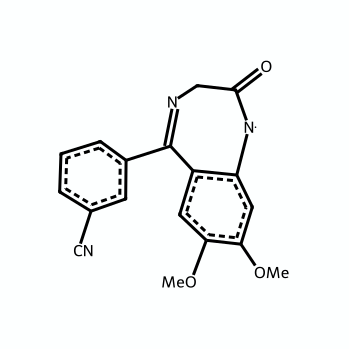 COc1cc2c(cc1OC)C(c1cccc(C#N)c1)=NCC(=O)[N]2